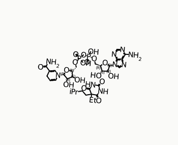 CCC1(CCC(C)C)C(=O)NC(=O)NC1=O.NC(=O)C1=CN([C@@H]2O[C@H](COP(=O)(O)OP(=O)(O)OC[C@H]3O[C@@H](n4cnc5c(N)ncnc54)[C@H](O)[C@@H]3O)[C@@H](O)[C@H]2O)C=CC1